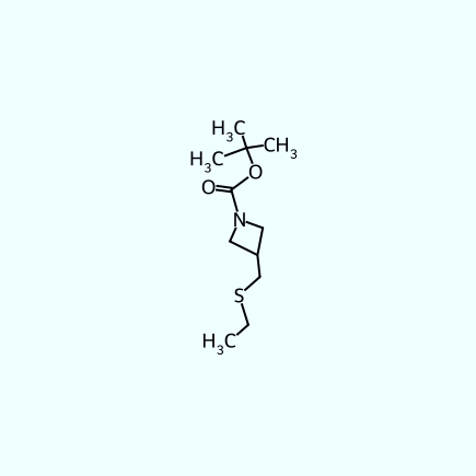 CCSCC1CN(C(=O)OC(C)(C)C)C1